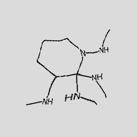 CNC1CCCN(NC)C1(NC)NC